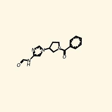 O=CNc1cn(C2CCN(C(=O)c3ccccc3)C2)cn1